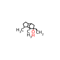 C=CC1(O)CC2CC1(C)C1C(C)CCC21